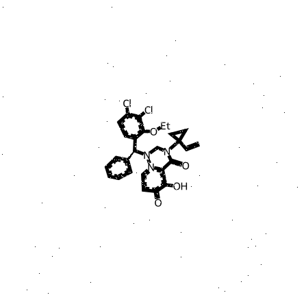 C=CC1(N2CN([C@@H](c3ccccc3)c3ccc(Cl)c(Cl)c3OCC)n3ccc(=O)c(O)c3C2=O)CC1